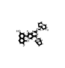 CCc1c(F)ccc2cc(O)cc(-c3ncc4c(N5CC6CCC(C5)O6)nc(OC[C@@]56CCCN5C[C@H](C)C6)nc4c3F)c12